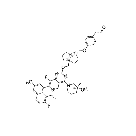 CCc1c(F)ccc2cc(O)cc(-c3ncc4c(N5CCC[C@@](C)(O)C5)nc(OC[C@@]56CCCN5[C@H](COc5ccc(CC=O)cc5)CC6)nc4c3F)c12